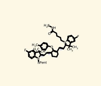 BNC(=O)CCCC[N+]1=C(/C=C/C2=C(Oc3ccc(C)cc3)C(=C/C=C3/N(CCCCC)c4ccc(F)cc4C3(C)C)/CCC2)C(C)(C)c2cc(F)ccc21